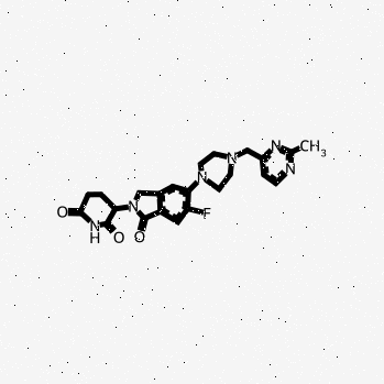 Cc1nccc(CN2CCN(c3cc4c(cc3F)C(=O)N(C3CCC(=O)NC3=O)C4)CC2)n1